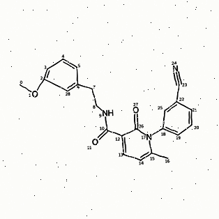 COc1cccc(CCNC(=O)c2ccc(C)n(-c3cccc(C#N)c3)c2=O)c1